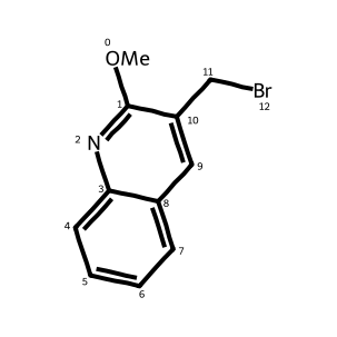 COc1nc2ccccc2cc1CBr